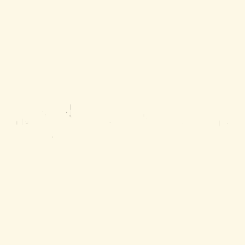 CCCCOC(=O)NCCOCCOCCOCC=O